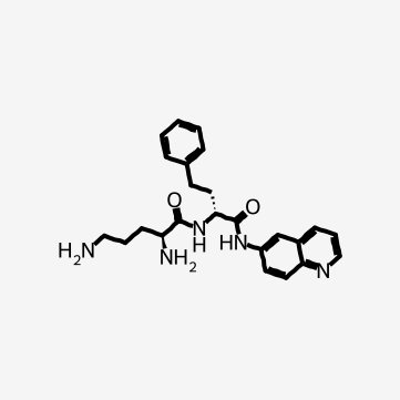 NCCC[C@H](N)C(=O)N[C@H](CCc1ccccc1)C(=O)Nc1ccc2ncccc2c1